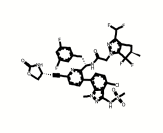 C[C@@H]1Cc2c(C(F)F)nn(CC(=O)N[C@@H](Cc3cc(F)cc(F)c3)c3nc(C#C[C@@H]4COC(=O)N4)ccc3-c3ccc(Cl)c4c(NS(C)(=O)=O)nn(C)c34)c2C1(F)F